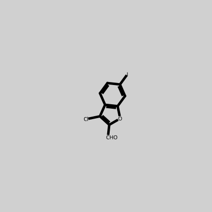 O=Cc1oc2cc(I)ccc2c1Cl